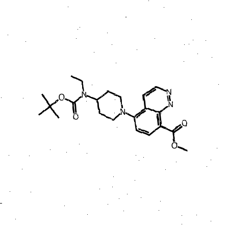 CCN(C(=O)OC(C)(C)C)C1CCN(c2ccc(C(=O)OC)c3nnccc23)CC1